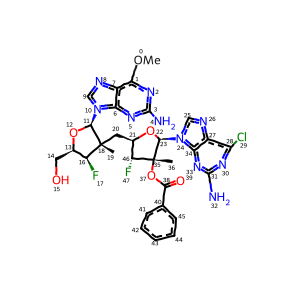 COc1nc(N)nc2c1ncn2[C@@H]1O[C@H](CO)[C@H](F)[C@@]1(C)C[C@H]1O[C@@H](n2cnc3c(Cl)nc(N)nc32)[C@](C)(OC(=O)c2ccccc2)[C@@H]1F